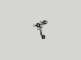 O=C(Nc1ccc(Cl)cc1C(=O)NN=CC=Cc1ccccc1)c1ccncc1